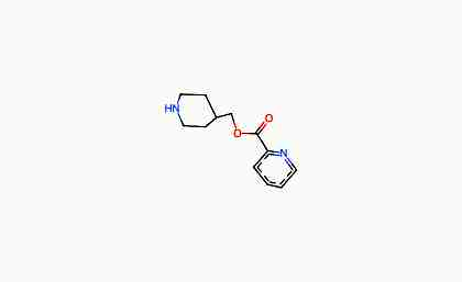 O=C(OCC1CCNCC1)c1ccccn1